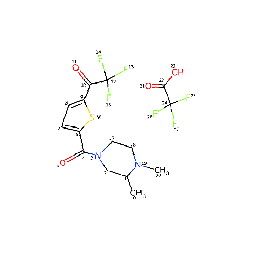 CC1CN(C(=O)c2ccc(C(=O)C(F)(F)F)s2)CCN1C.O=C(O)C(F)(F)F